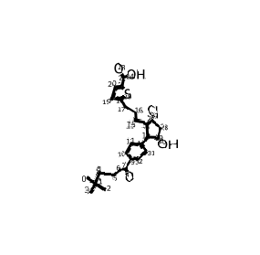 CC(C)(C)CCCC(=O)c1ccc(C2C(CCCc3ccc(C(=O)O)s3)[C@H](Cl)C[C@H]2O)cc1